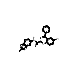 Cc1nc2cc(NC(=O)COc3ccc(Cl)cc3C(=O)c3ccccc3)ccc2s1